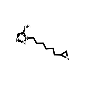 CCCc1cnnn1CCCCCCC1CS1